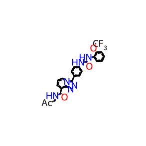 CC(=O)CNC(=O)c1cccn2c(-c3ccc(NC(=O)Nc4ccccc4OC(F)(F)F)cc3)nnc12